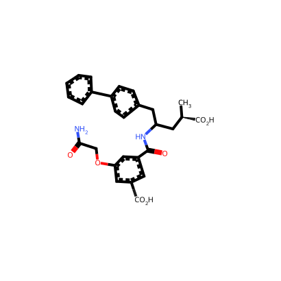 C[C@H](CC(Cc1ccc(-c2ccccc2)cc1)NC(=O)c1cc(OCC(N)=O)cc(C(=O)O)c1)C(=O)O